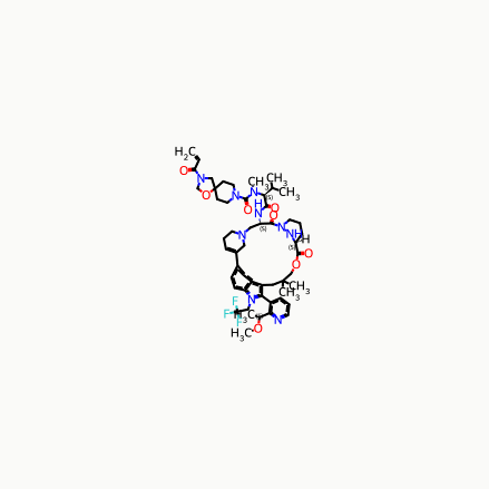 C=CC(=O)N1COC2(CCN(C(=O)N(C)[C@H](C(=O)N[C@H]3CN4CCC=C(C4)c4ccc5c(c4)c(c(-c4cccnc4[C@H](C)OC)n5CC(F)(F)F)CC(C)(C)COC(=O)[C@@H]4CCCN(N4)C3=O)C(C)C)CC2)C1